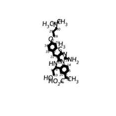 Cc1nc(N)nc(NC(CCO)c2cccc([C@@H](C)C(=O)O)c2)c1Cc1ccc(OCCCN(C)C)cc1